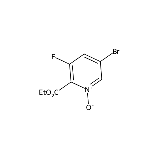 CCOC(=O)c1c(F)cc(Br)c[n+]1[O-]